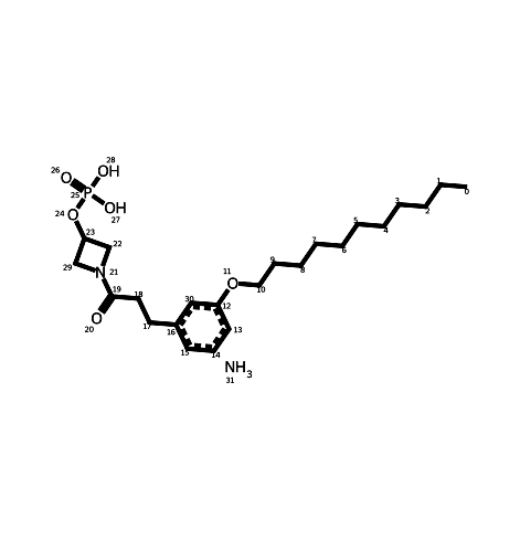 CCCCCCCCCCCOc1cccc(CCC(=O)N2CC(OP(=O)(O)O)C2)c1.N